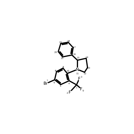 FC(F)(F)c1cc(Br)ccc1N1CCCC1c1ccccc1